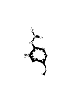 COc1ccc(OS(=O)[O-])cc1.[Na+]